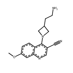 COc1ccc2c(N3CC(CCN)C3)c(C#N)cnc2c1